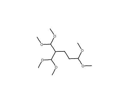 COC(CCC(C(OC)OC)C(OC)OC)OC